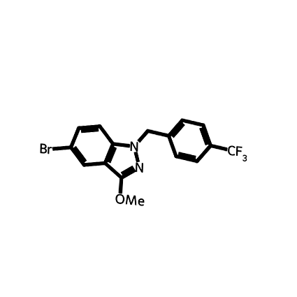 COc1nn(Cc2ccc(C(F)(F)F)cc2)c2ccc(Br)cc12